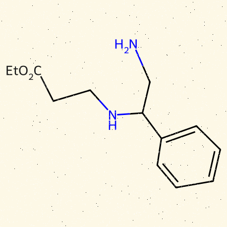 CCOC(=O)CCNC(CN)c1ccccc1